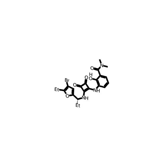 CCc1oc([C@@H](CC)Nc2c(Nc3cccc(C(=O)N(C)C)c3O)c(=O)c2=O)cc1Br